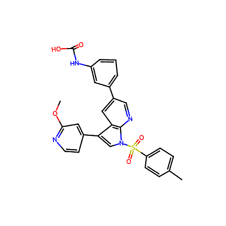 COc1cc(-c2cn(S(=O)(=O)c3ccc(C)cc3)c3ncc(-c4cccc(NC(=O)O)c4)cc23)ccn1